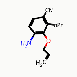 C=CCOc1c(N)ccc(C#N)c1CCC